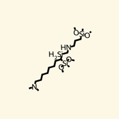 CO[Si](C)(CCCNC[SiH2]C(CCCCCCCN(C)C)[Si](C)(OC)OC)OC